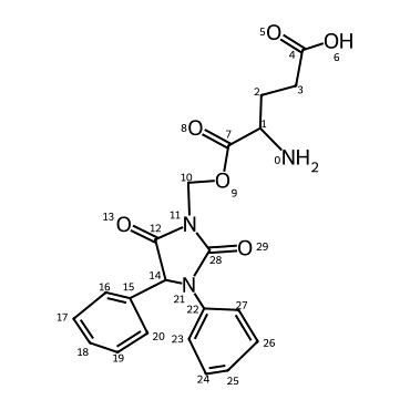 NC(CCC(=O)O)C(=O)OCN1C(=O)C(c2ccccc2)N(c2ccccc2)C1=O